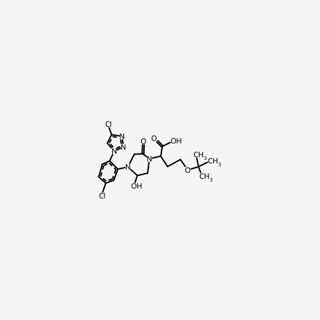 CC(C)(C)OCCC(C(=O)O)N1CC(O)N(c2cc(Cl)ccc2-n2cc(Cl)nn2)CC1=O